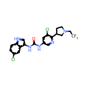 O=C(Nc1cnc(C2CCN(CC(F)(F)F)C2)c(Cl)c1)Nc1c[nH]c2ccc(Cl)cc12